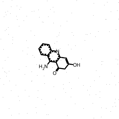 Nc1c2c(nc3ccccc13)C=C(O)CC2=O